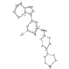 Clc1cc(-c2c[nH]c3ncccc23)cc(NC2CCC(C3CC[N]CC3)CC2)n1